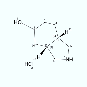 Cl.OC1CC[C@@H]2CNC[C@@H]2C1